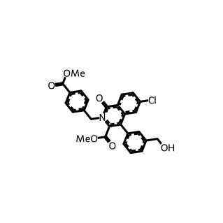 COC(=O)c1ccc(Cn2c(C(=O)OC)c(-c3cccc(CO)c3)c3cc(Cl)ccc3c2=O)cc1